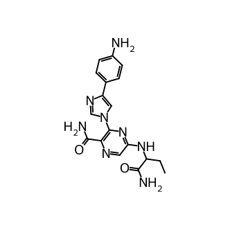 CCC(Nc1cnc(C(N)=O)c(-n2cnc(-c3ccc(N)cc3)c2)n1)C(N)=O